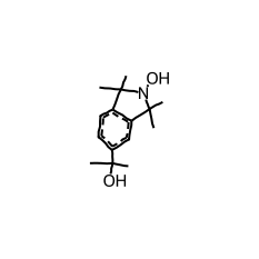 CC(C)(O)c1ccc2c(c1)C(C)(C)N(O)C2(C)C